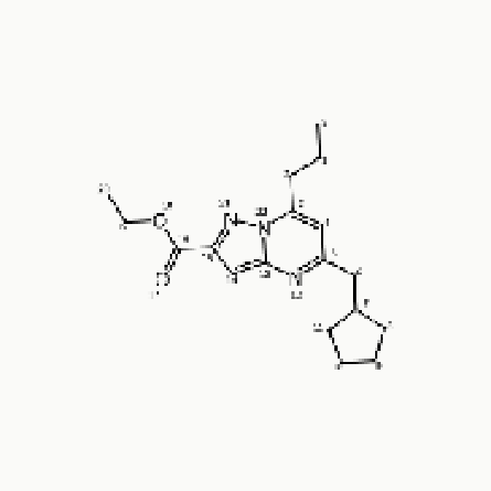 CCCc1cc(CC2CCCC2)nc2cc(C(=O)OCC)nn12